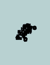 CN(Cc1cc(OCc2ccccc2)c2c(c1N(C)C)C[C@H]1C[C@H]3[C@H](N(C)C)c4onc(OCc5ccccc5)c4C(=O)[C@@]3(O)C(O)=C1C2=O)CC(C)(C)C